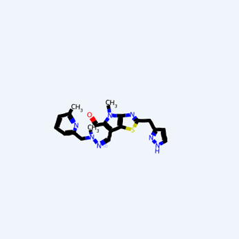 Cc1cccc(CN(C)/N=C\c2c(C=O)n(C)c3nc(Cc4cc[nH]n4)sc23)n1